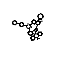 CC1(C)c2ccccc2C2(c3ccc(-c4ccc5c6c(sc5c4)C=CCC=C6)cc3-c3c(-c4nc(-c5ccccc5)nc(-c5ccc(-c6ccccc6)cc5)n4)cccc32)c2ccccc21